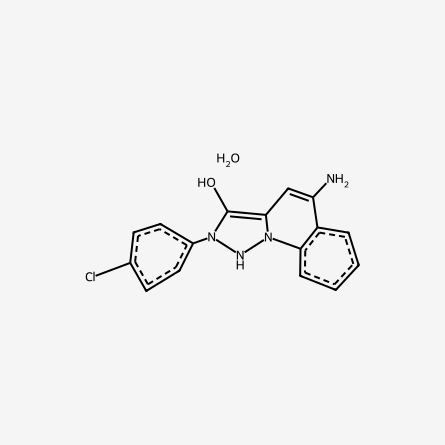 NC1=CC2=C(O)N(c3ccc(Cl)cc3)NN2c2ccccc21.O